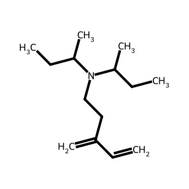 C=CC(=C)CCN(C(C)CC)C(C)CC